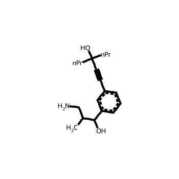 CCCC(O)(C#Cc1cccc(C(O)C(C)CN)c1)CCC